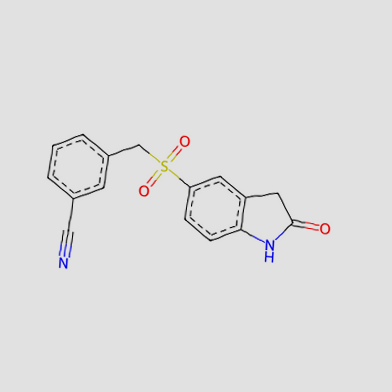 N#Cc1cccc(CS(=O)(=O)c2ccc3c(c2)CC(=O)N3)c1